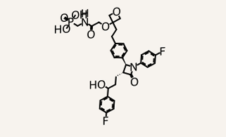 O=C(COC1(CCc2ccc([C@@H]3[C@@H](CCC(O)c4ccc(F)cc4)C(=O)N3c3ccc(F)cc3)cc2)COC1)NCP(=O)(O)O